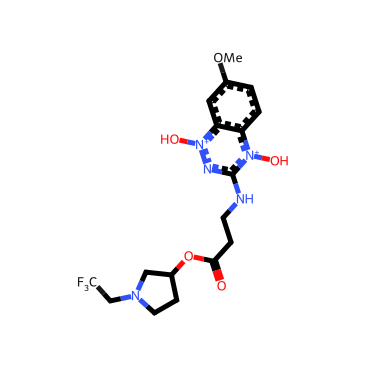 COc1ccc2c(c1)[n+](O)nc(NCCC(=O)OC1CCN(CC(F)(F)F)C1)[n+]2O